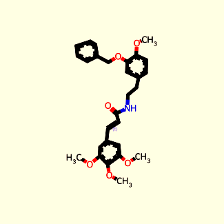 COc1ccc(CCNC(=O)/C=C/c2cc(OC)c(OC)c(OC)c2)cc1OCc1ccccc1